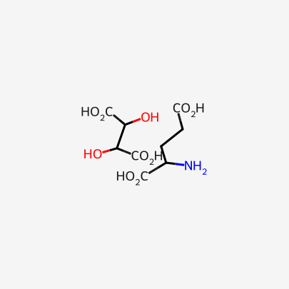 NC(CCC(=O)O)C(=O)O.O=C(O)C(O)C(O)C(=O)O